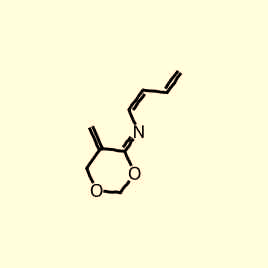 C=C/C=C\N=C1\OCOCC1=C